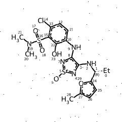 CC[C@@H](Nc1n[s+]([O-])nc1Nc1ccc(Cl)c(S(=O)(=O)N(C)C)c1O)c1ccc(C)o1